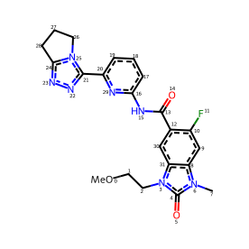 COCCn1c(=O)n(C)c2cc(F)c(C(=O)Nc3cccc(-c4nnc5n4CCC5)n3)cc21